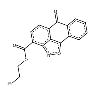 CC(C)CCOC(=O)c1ccc2c3c(onc13)-c1ccccc1C2=O